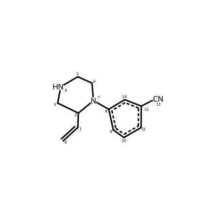 C=CC1CNCCN1c1cccc(C#N)c1